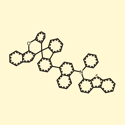 c1ccc(N(c2ccc(-c3cccc4c3-c3ccccc3C43c4ccccc4Oc4c3ccc3ccccc43)c3ccccc23)c2cccc3c2sc2ccccc23)cc1